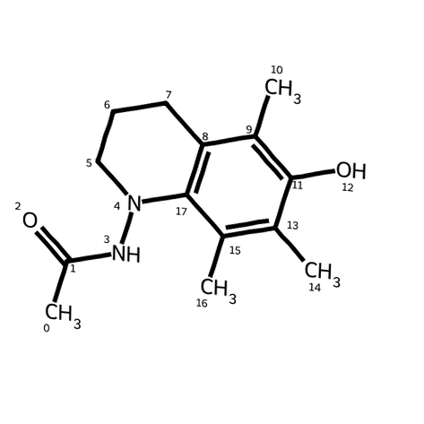 CC(=O)NN1CCCc2c(C)c(O)c(C)c(C)c21